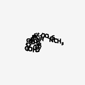 CCO[C@H](CN(CC(C)C)S(=O)(=O)c1ccc2c(c1)OCO2)[C@H](Cc1ccc(OCc2csc(C)n2)cc1)NC(=O)O[C@H]1CO[C@H]2OCC[C@H]21